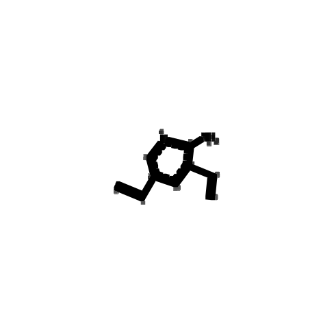 C=Cc1cnc(N)c(C=C)c1